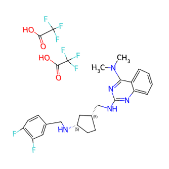 CN(C)c1nc(NC[C@@H]2CC[C@H](NCc3ccc(F)c(F)c3)C2)nc2ccccc12.O=C(O)C(F)(F)F.O=C(O)C(F)(F)F